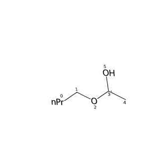 CCCCO[C](C)O